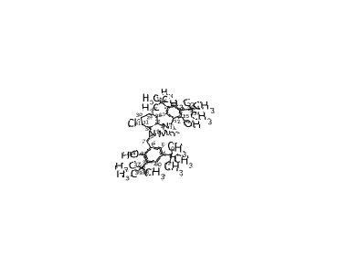 CC(C)(C)c1cc(C=[N+]2[Mn+][N+](=Cc3cc(C(C)(C)C)cc(C(C)(C)C)c3O)C3CCCCC32)c(O)c(C(C)(C)C)c1.[Cl-]